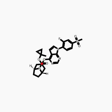 CC1(OC(=O)N2[C@H]3CC[C@H]2CC(Oc2ncnc4c2ccn4-c2ccc(S(C)(=O)=O)cc2F)C3)CC1